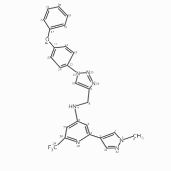 Cn1cc(-c2cc(NCc3cn(-c4ccc(Oc5ccccc5)cc4)nn3)cc(C(F)(F)F)n2)cn1